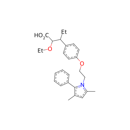 CCOC(C(=O)O)C(CC)c1ccc(OCCn2c(C)cc(C)c2-c2ccccc2)cc1